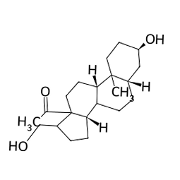 CC(=O)C12CC[C@H]3C(CC[C@H]4C[C@H](O)CCC43C)[C@@H]1CCC2CO